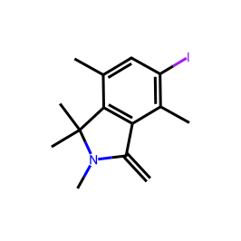 C=C1c2c(C)c(I)cc(C)c2C(C)(C)N1C